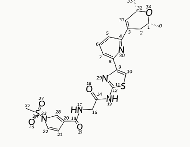 C[C@@H]1CC(c2cccc(-c3csc(NC(=O)CNC(=O)c4ccn(S(C)(=O)=O)c4)n3)n2)=C[C@H](C)O1